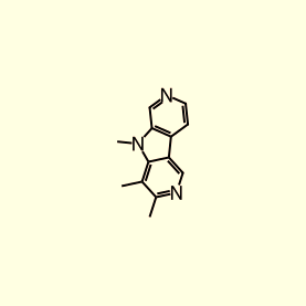 Cc1ncc2c3ccncc3n(C)c2c1C